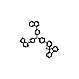 CCC1(c2cccc(-c3ccc(N(c4ccc(-c5cccc6ccccc56)cc4)c4ccc(-c5cccc6ccccc56)cc4)cc3)c2)c2ccccc2-c2ccccc21